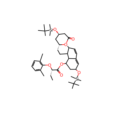 CC[C@H](Oc1c(C)cccc1C)C(=O)OC1CC(O[Si](C)(C)C(C)(C)C)C=C2C=CC(C)C(CC[C@@H]3C[C@@H](O[Si](C)(C)C(C)(C)C)CC(=O)O3)C21